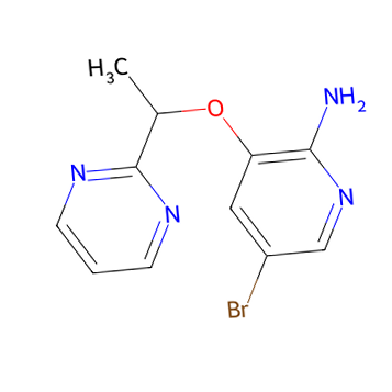 CC(Oc1cc(Br)cnc1N)c1ncccn1